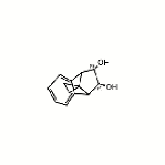 O[C@@H]1C2c3ccccc3C([C@@H]1O)C21CC1